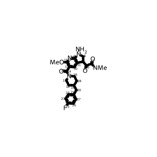 CNC(=O)C(=O)C1CN(N)c2nc(OC)c(C(=O)N3CCC(Cc4ccc(F)cc4)CC3)cc21